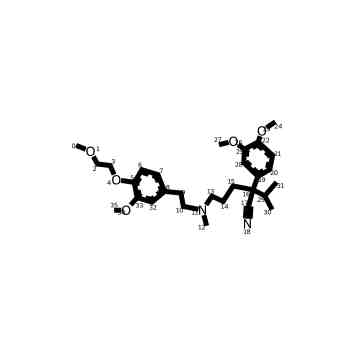 COCCOc1ccc(CCN(C)CCCC(C#N)(c2ccc(OC)c(OC)c2)C(C)C)cc1OC